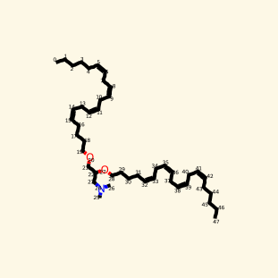 CCCCC/C=C\C/C=C\C/C=C\C/C=C\CCCCOCC(CN(C)C)OCCCC/C=C\C/C=C\C/C=C\C/C=C\CCCCC